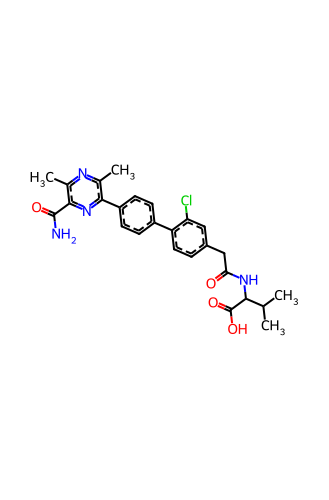 Cc1nc(C)c(-c2ccc(-c3ccc(CC(=O)NC(C(=O)O)C(C)C)cc3Cl)cc2)nc1C(N)=O